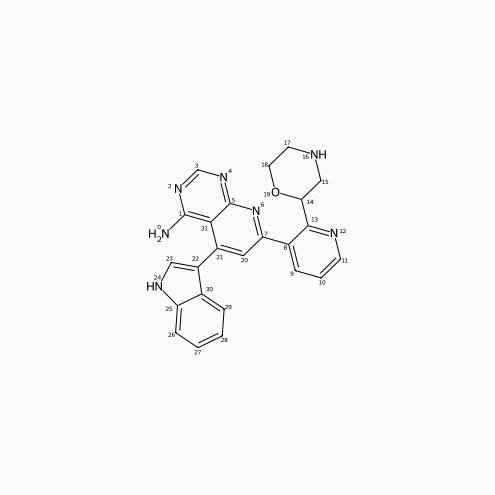 Nc1ncnc2nc(-c3cccnc3C3CNCCO3)cc(-c3c[nH]c4ccccc34)c12